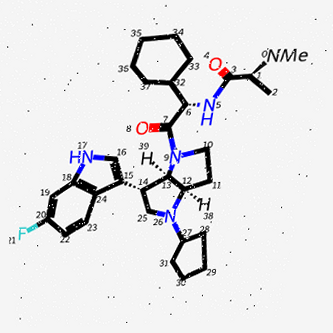 CN[C@@H](C)C(=O)N[C@H](C(=O)N1CC[C@@H]2[C@H]1[C@@H](c1c[nH]c3cc(F)ccc13)CN2C1CCCC1)C1CCCCC1